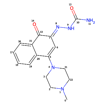 CN1CCN(C2=C/C(=N\NC(N)=O)C(=O)c3ccccc32)CC1